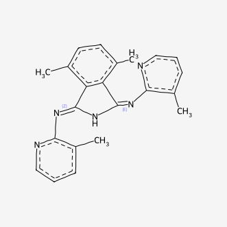 Cc1cccnc1/N=C1\N/C(=N/c2ncccc2C)c2c(C)ccc(C)c21